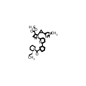 CCC[C@@H]1CCCCN1C(=O)c1cccc(-c2cccc(-n3ncc(C(=O)OC)c3C3CC3c3cn(C)nn3)n2)c1